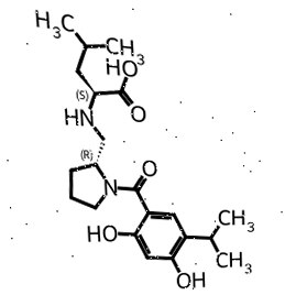 CC(C)C[C@H](NC[C@H]1CCCN1C(=O)c1cc(C(C)C)c(O)cc1O)C(=O)O